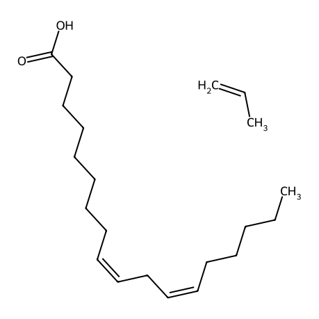 C=CC.CCCCC/C=C\C/C=C\CCCCCCCC(=O)O